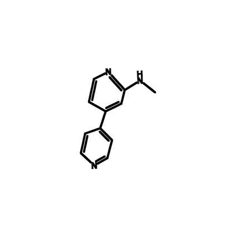 CNc1cc(-c2ccncc2)ccn1